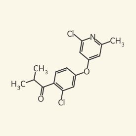 Cc1cc(Oc2ccc(C(=O)C(C)C)c(Cl)c2)cc(Cl)n1